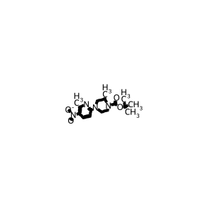 Cc1nc(N2CCN(C(=O)OC(C)(C)C)C(C)C2)ccc1[N+](=O)[O-]